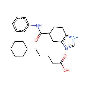 O=C(Nc1ccccc1)C1CCc2[nH]cnc2C1.O=C(O)CCCCC1CCCCC1